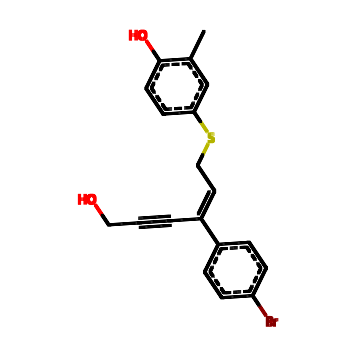 Cc1cc(SC/C=C(\C#CCO)c2ccc(Br)cc2)ccc1O